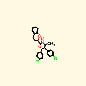 CC(NC(=O)C1CCc2ccccc2O1)C(Cc1ccc(Cl)cc1)c1ccc(Cl)cc1